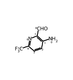 Nc1ccc(C(F)(F)F)nc1C=O